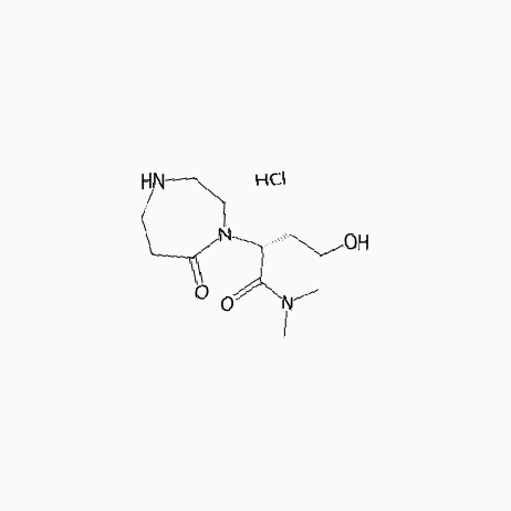 CN(C)C(=O)[C@@H](CCO)N1CCNCCC1=O.Cl